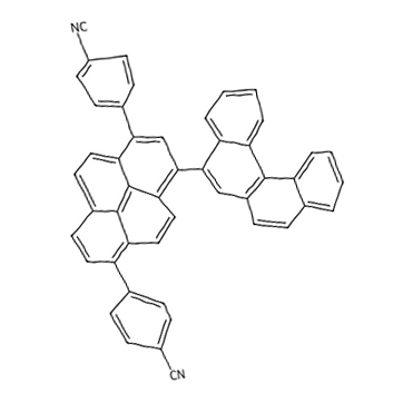 [C-]#[N+]c1ccc(-c2cc(-c3cc4ccc5ccccc5c4c4ccccc34)c3ccc4c(-c5ccc(C#N)cc5)ccc5ccc2c3c54)cc1